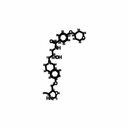 CC1NCOC1COc1ccc2c(c1)CCN(C[C@@H](O)CNC(=O)c1ccc(OC3CCOCC3)cc1)C2